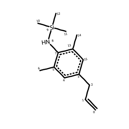 C=CCc1cc(C)c(N[Si](C)(C)C)c(C)c1